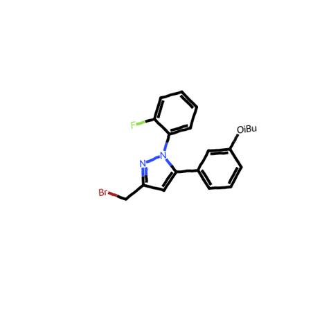 CC(C)COc1cccc(-c2cc(CBr)nn2-c2ccccc2F)c1